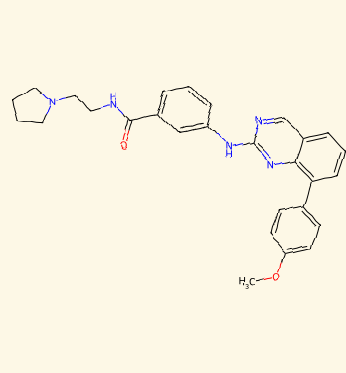 COc1ccc(-c2cccc3cnc(Nc4cccc(C(=O)NCCN5CCCC5)c4)nc23)cc1